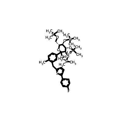 Cc1ccc(C2(O)O[C@H](CO[Si](C)(C)C)[C@@H](O[Si](C)(C)C)[C@H](O[Si](C)(C)C)[C@H]2O[Si](C)(C)C)cc1Cc1ccc(-c2ccc(F)cc2)s1